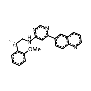 COc1ccccc1[C@H](C)CNc1cc(-c2ccc3ncccc3c2)ncn1